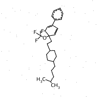 CC(C)CCCC1CCC(CCC2(OC(F)(F)F)C=CC(c3ccccc3)=CC2F)CC1